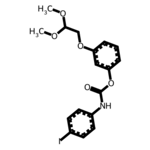 COC(COc1cccc(OC(=O)Nc2ccc(I)cc2)c1)OC